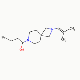 CC(C)=CN1CC2(CCN(C(O)CCC(C)C)CC2)C1